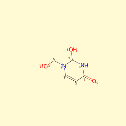 O=C1C=CN(CO)C(O)N1